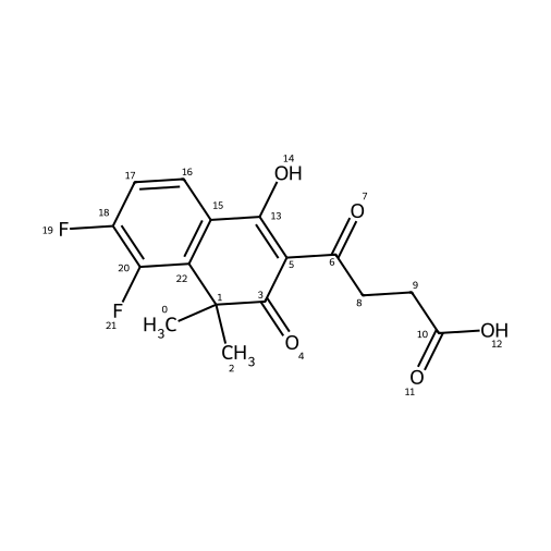 CC1(C)C(=O)C(C(=O)CCC(=O)O)=C(O)c2ccc(F)c(F)c21